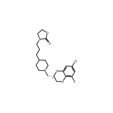 O=C1OCCN1CCCC1CCN(C[C@H]2COc3c(F)cc(Cl)cc3O2)CC1